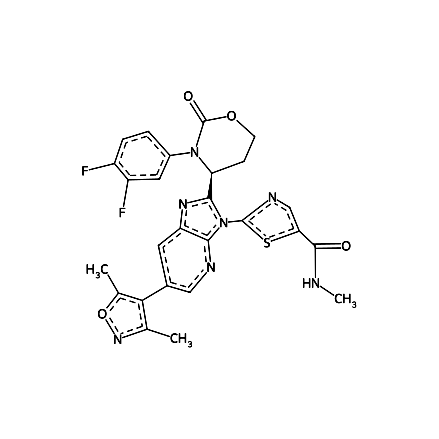 CNC(=O)c1cnc(-n2c([C@@H]3CCOC(=O)N3c3ccc(F)c(F)c3)nc3cc(-c4c(C)noc4C)cnc32)s1